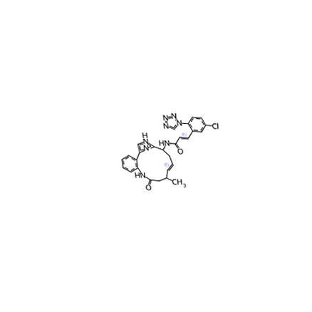 CC1/C=C/CC(NC(=O)/C=C/c2cc(Cl)ccc2-n2cnnn2)c2nc(c[nH]2)-c2ccccc2NC(=O)C1